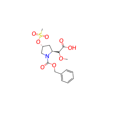 COC(C(=O)O)[C@@H]1C[C@@H](OS(C)(=O)=O)CN1C(=O)OCc1ccccc1